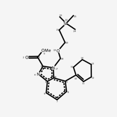 COC(=O)c1nc2cccc(C3=CCCCC3)c2n1COCC[Si](C)(C)C